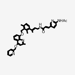 CC(=O)Nc1ccc(C=CC(=O)NCC=C(C)c2ccc(C)c(COc3cccc4c(OCc5ccccn5)cc(C)nc34)c2C)cn1